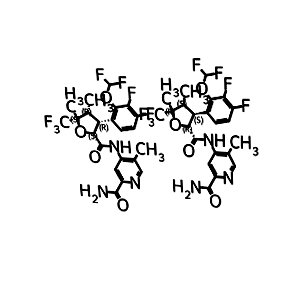 Cc1cnc(C(N)=O)cc1NC(=O)[C@@H]1O[C@@](C)(C(F)(F)F)[C@@H](C)[C@H]1c1ccc(F)c(F)c1OC(F)F.Cc1cnc(C(N)=O)cc1NC(=O)[C@H]1O[C@](C)(C(F)(F)F)[C@H](C)[C@@H]1c1ccc(F)c(F)c1OC(F)F